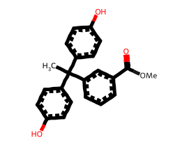 COC(=O)c1cccc(C(C)(c2ccc(O)cc2)c2ccc(O)cc2)c1